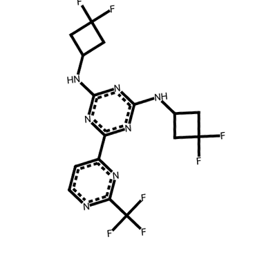 FC1(F)CC(Nc2nc(NC3CC(F)(F)C3)nc(-c3ccnc(C(F)(F)F)n3)n2)C1